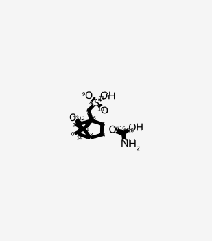 CC1(C)C2CCC1(CS(=O)(=O)O)C(=O)C2.NC(=O)O